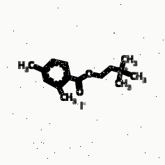 Cc1ccc(C(=O)OCC[N+](C)(C)C)c(C)c1.[I-]